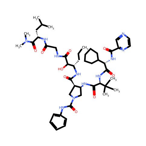 CCC[C@H](NC(=O)[C@@H]1CN(C(=O)Nc2ccccc2)C[C@@H]1NC(=O)[C@@H](NC(=O)[C@@H](NC(=O)c1cnccn1)C1CCCCC1)C(C)(C)C)C(O)C(=O)NCC(=O)N[C@@H](CC(C)C)C(=O)N(C)C